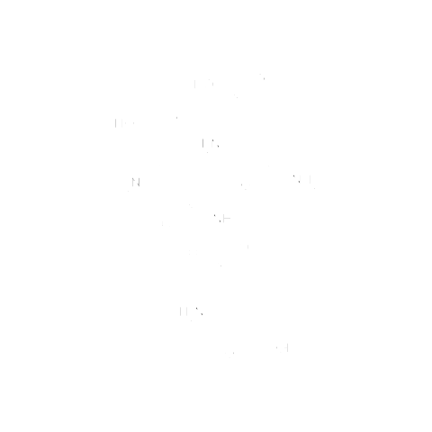 NC(=O)CC(N)C(=O)O.NC(=O)CC(N)C(=O)O.NC(CC(=O)O)C(=O)O